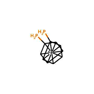 P[C]12[CH]3[CH]4[CH]5[CH]1[Fe]45321678[CH]2[CH]1[CH]6[C]7(P)[CH]28